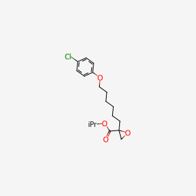 CC(C)OC(=O)C1(CCCCCCOc2ccc(Cl)cc2)CO1